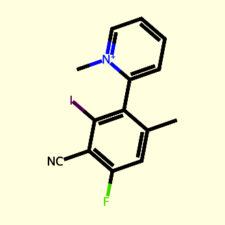 Cc1cc(F)c(C#N)c(I)c1-c1cccc[n+]1C